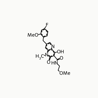 COCCNC(=O)c1c(O)c2ncc(Cc3ccc(F)cc3OC)cc2n(C)c1=O